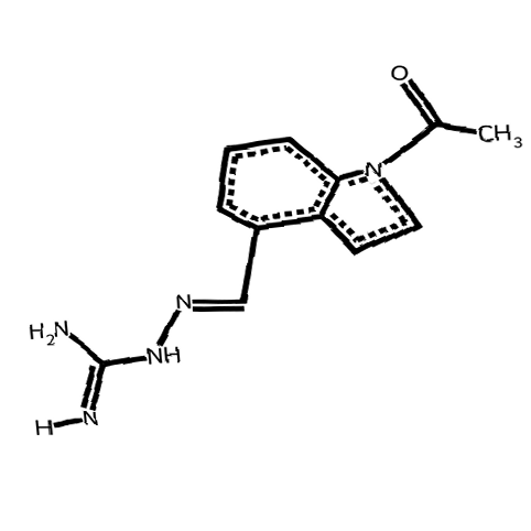 [H]/N=C(\N)NN=Cc1cccc2c1ccn2C(C)=O